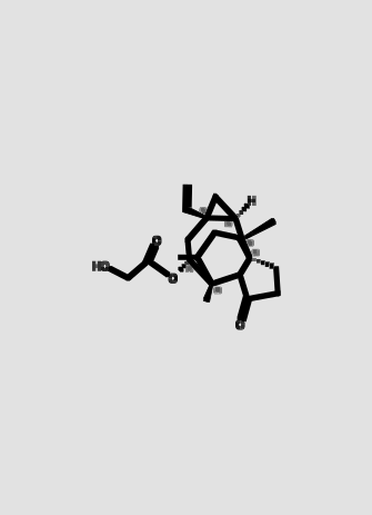 C=C[C@@]12C[C@H]1[C@H](C)[C@]13CCC(=O)C1[C@@](C)(C(C)CC3)[C@H](OC(=O)CO)C2